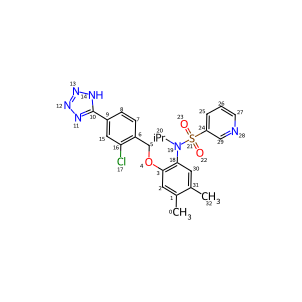 Cc1cc(OCc2ccc(-c3nnn[nH]3)cc2Cl)c(N(C(C)C)S(=O)(=O)c2cccnc2)cc1C